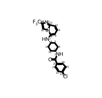 O=C(N[C@H]1CC[C@@H](Nc2cccc3nc(C(F)(F)F)cn23)CC1)c1ccc(Cl)cc1